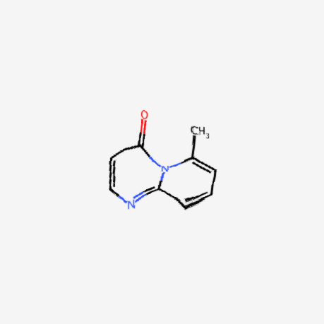 Cc1cccc2nccc(=O)n12